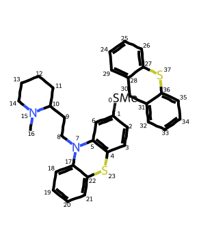 CSc1ccc2c(c1)N(CCC1CCCCN1C)c1ccccc1S2.c1ccc2c(c1)Cc1ccccc1S2